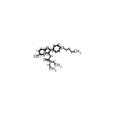 CCCCOc1ccc(-c2nc3ccc(Cl)cn3c2CC(=O)N(CC)CC)cc1